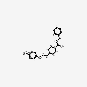 O=C(OCc1ccccc1)N1CCC(CCOc2ccc(Br)nc2)CC1